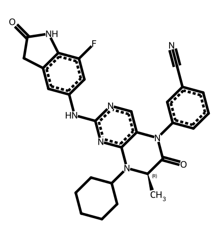 C[C@@H]1C(=O)N(c2cccc(C#N)c2)c2cnc(Nc3cc(F)c4c(c3)CC(=O)N4)nc2N1C1CCCCC1